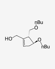 CCCCOC[C@H]1C(CO)=CC[C@@H]1OCCCC